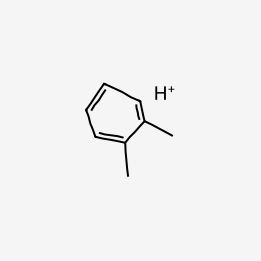 Cc1ccccc1C.[H+]